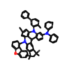 Cc1cc2c3c(c1)N(c1cccc4oc5ccccc5c14)c1cc4c(cc1B3c1ccc(N(c3ccccc3)c3ccccc3)cc1N2c1cc(-c2ccccc2)ccc1C)C(C)(C)CC4(C)C